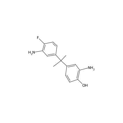 CC(C)(c1ccc(O)c(N)c1)c1ccc(F)c(N)c1